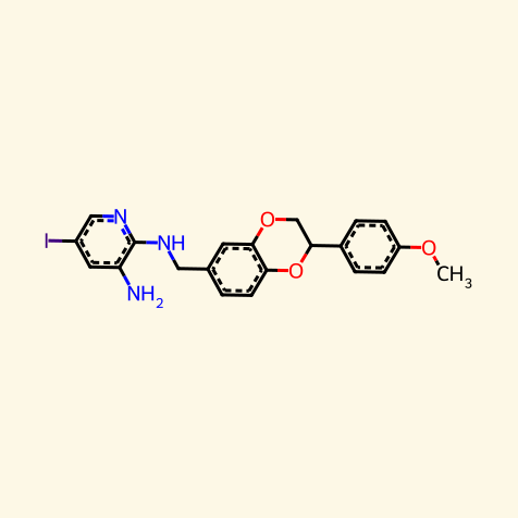 COc1ccc(C2COc3cc(CNc4ncc(I)cc4N)ccc3O2)cc1